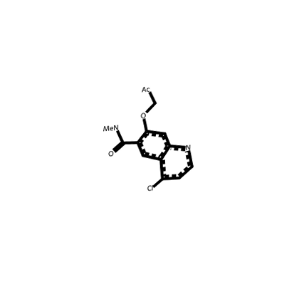 CNC(=O)c1cc2c(Cl)ccnc2cc1OCC(C)=O